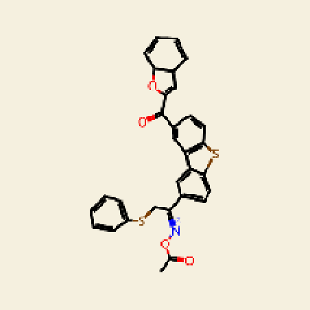 CC(=O)O/N=C(\CSc1ccccc1)c1ccc2sc3ccc(C(=O)C4=CC5C=CC=CC5O4)cc3c2c1